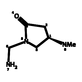 CN[C@@H]1CC(=O)N(CN)C1